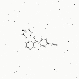 N#Cc1ccc(OCC2(c3ccccc3)CCNCC2)nc1